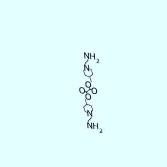 NCCN1CCC(COC(=O)C(=O)OCC2CCN(CCN)CC2)CC1